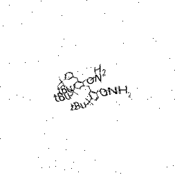 CC(C)(C)CC(C)(C)c1cccc(Cc2cc(C(C)(C)CC(C)(C)C)cc(Cc3cc(C(C)(C)CC(C)(C)C)ccc3COCN)c2COCN)c1